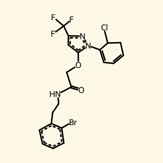 O=C(COc1cc(C(F)(F)F)nn1C1=CC=CCC1Cl)NCCc1ccccc1Br